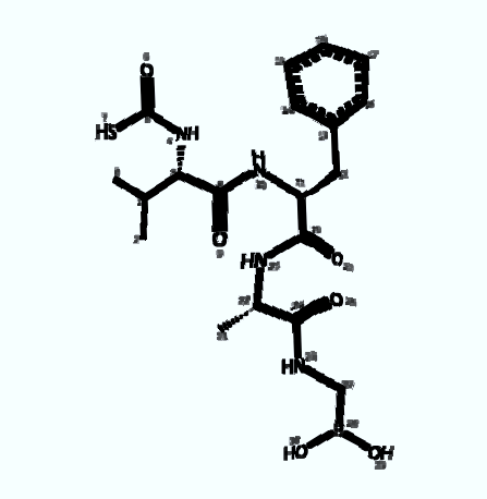 CC(C)[C@H](NC(=O)S)C(=O)N[C@@H](Cc1ccccc1)C(=O)N[C@@H](C)C(=O)NCB(O)O